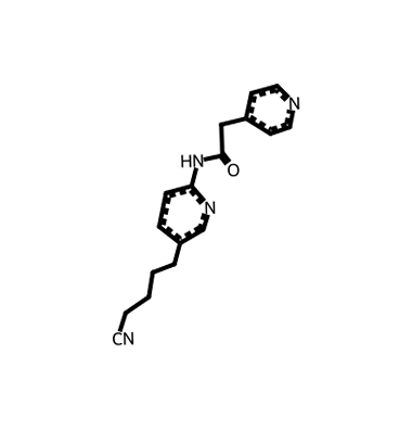 N#CCCCCc1ccc(NC(=O)Cc2ccncc2)nc1